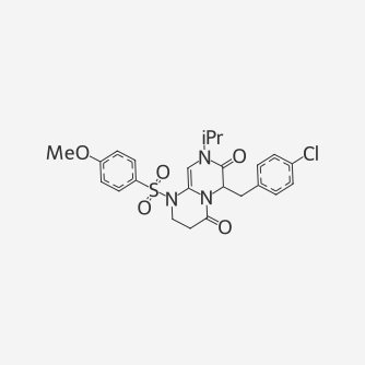 COc1ccc(S(=O)(=O)N2CCC(=O)N3C2=CN(C(C)C)C(=O)C3Cc2ccc(Cl)cc2)cc1